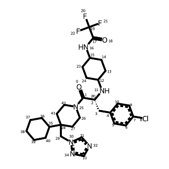 O=C([C@@H](Cc1ccc(Cl)cc1)NC1CCC(NC(=O)C(F)(F)F)CC1)N1CCC(Cn2cncn2)(C2CCCCC2)CC1